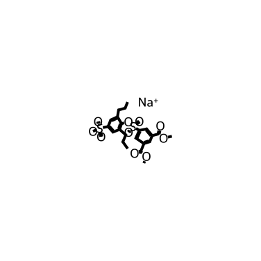 CCCc1cc(S(=O)(=O)[O-])cc(CCC)c1OS(=O)(=O)c1cc(C(=O)OC)cc(C(=O)OC)c1.[Na+]